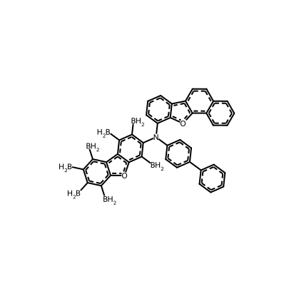 Bc1c(B)c(B)c2c(oc3c(B)c(N(c4ccc(-c5ccccc5)cc4)c4cccc5c4oc4c6ccccc6ccc54)c(B)c(B)c32)c1B